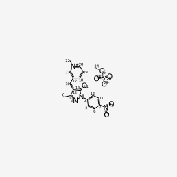 CC1=NN(c2ccc([N+](=O)[O-])cc2)C(=O)C1=Cc1ccc[n+](C)c1.COS(=O)(=O)[O-]